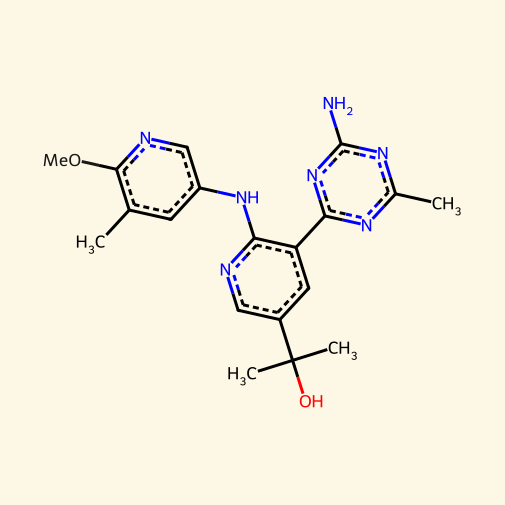 COc1ncc(Nc2ncc(C(C)(C)O)cc2-c2nc(C)nc(N)n2)cc1C